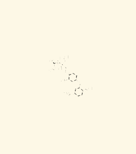 CCCC(CO)(CCc1ccc(Sc2cc(OCC)ccc2O)cc1Cl)NC(=O)OC(C)(C)C